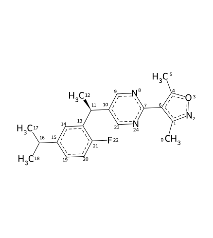 Cc1noc(C)c1-c1ncc([C@H](C)c2cc(C(C)C)ccc2F)cn1